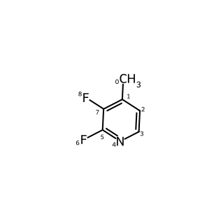 Cc1ccnc(F)c1F